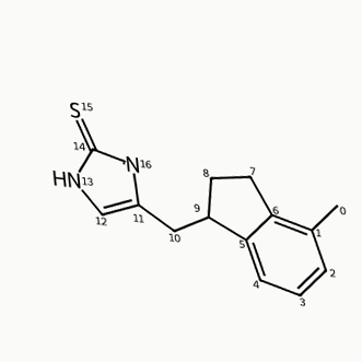 Cc1cccc2c1CCC2CC1=CNC(=S)[N]1